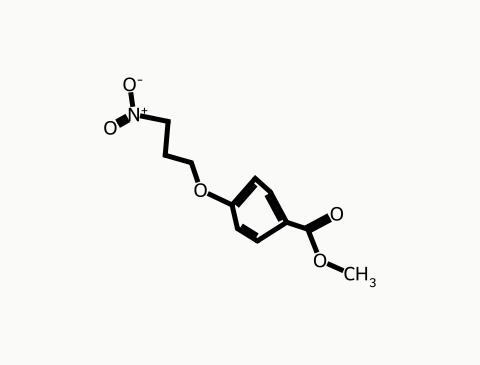 COC(=O)c1ccc(OCCC[N+](=O)[O-])cc1